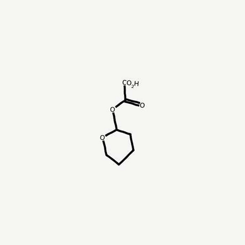 O=C(O)C(=O)OC1CCCCO1